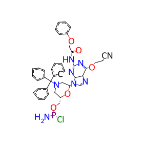 N#CCCOC1=NC(NC(=O)COc2ccccc2)=NC2C1N=CN2[C@H]1CN(C(c2ccccc2)(c2ccccc2)c2ccccc2)C[C@@H](COP(N)Cl)O1